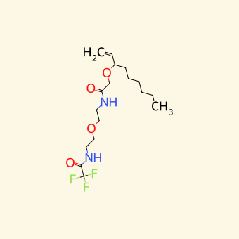 C=CC(CCCCCC)OCC(=O)NCCOCCNC(=O)C(F)(F)F